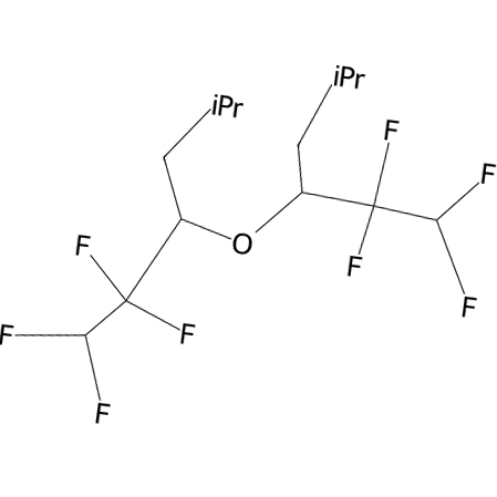 CC(C)CC(OC(CC(C)C)C(F)(F)C(F)F)C(F)(F)C(F)F